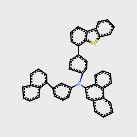 c1cc(-c2cccc3ccccc23)cc(N(c2ccc(-c3cccc4c3sc3ccccc34)cc2)c2cc3ccccc3c3ccccc23)c1